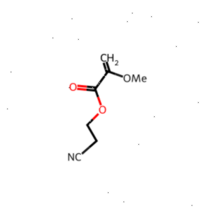 C=C(OC)C(=O)OCCC#N